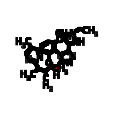 CCN1C=CC(c2nnc(NSC(C)C(C)c3ncc(C)cn3)n2-c2c(OC)cccc2OC)N1